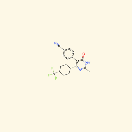 Cc1nc([C@H]2CC[C@@H](C(F)(F)F)CC2)c(-c2ccc(C#N)cc2)c(=O)[nH]1